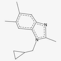 Cc1cc2nc(C)n(CC3CC3)c2cc1C